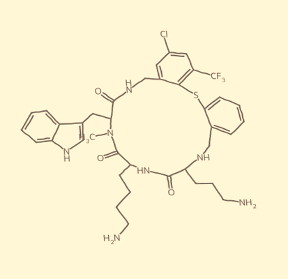 CN1C(=O)C(CCCCN)NC(=O)C(CCCN)NCc2ccccc2Sc2c(cc(Cl)cc2C(F)(F)F)CNC(=O)C1Cc1c[nH]c2ccccc12